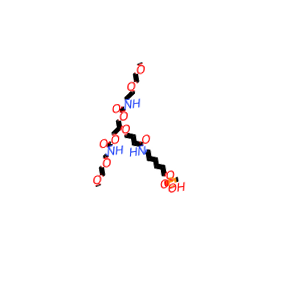 COCCOCCNC(=O)OCC(COC(=O)NCOCCOC)OCCCC(=O)NCCCCCCOP(C)(=O)O